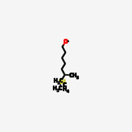 C.CC(C)CCCCC[O].CS